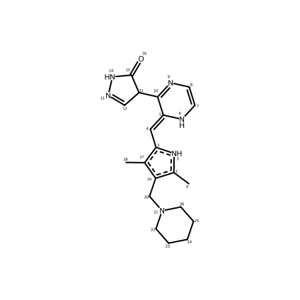 Cc1[nH]c(C=C2NC=CN=C2C2C=NNC2=O)c(C)c1CN1CCCCC1